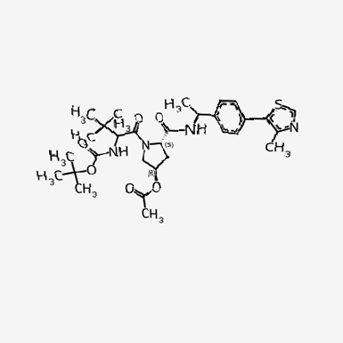 CC(=O)O[C@@H]1C[C@@H](C(=O)NC(C)c2ccc(-c3scnc3C)cc2)N(C(=O)C(NC(=O)OC(C)(C)C)C(C)(C)C)C1